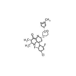 Cc1nc2c(-c3c(F)cc(Cl)cc3F)cc([C@H]3CCO[C@@H](c4cnn(C)c4)C3)nn2c(=O)c1C